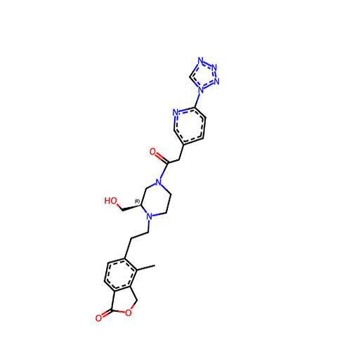 Cc1c(CCN2CCN(C(=O)Cc3ccc(-n4cnnn4)nc3)C[C@@H]2CO)ccc2c1COC2=O